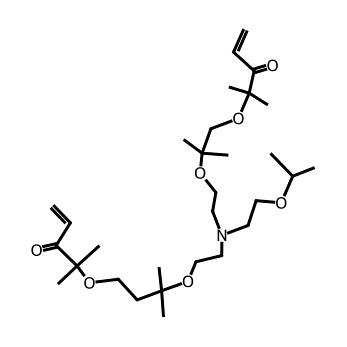 C=CC(=O)C(C)(C)OCCC(C)(C)OCCN(CCOC(C)C)CCOC(C)(C)COC(C)(C)C(=O)C=C